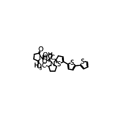 C[C@@H]1CCC[N+]1(C(=O)O[N+]1(O)C(=O)CCC1=O)C1(C)CC=C(c2ccc(-c3cccs3)s2)S1